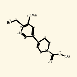 COc1cc(C2=CCN(C(=O)OC(C)(C)C)CC2)cnc1CBr